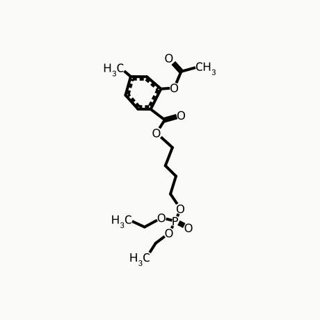 CCOP(=O)(OCC)OCCCCOC(=O)c1ccc(C)cc1OC(C)=O